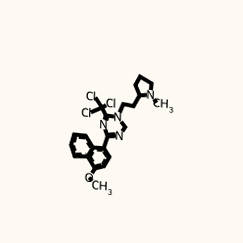 COc1ccc(C2=NCN(CCC3CCCN3C)C(C(Cl)(Cl)Cl)=N2)c2ccccc12